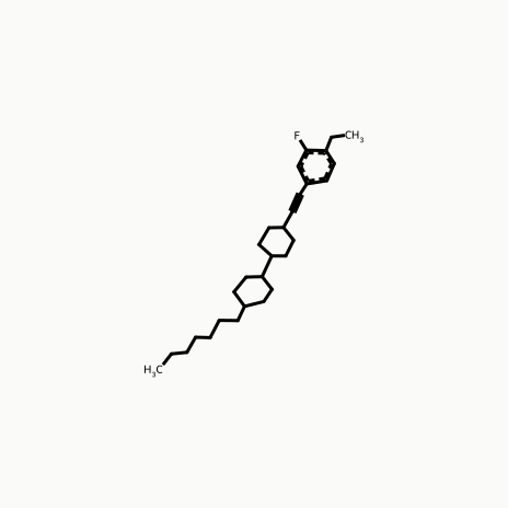 CCCCCCCC1CCC(C2CCC(C#Cc3ccc(CC)c(F)c3)CC2)CC1